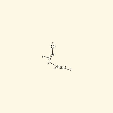 CC#CCC(C)=C[O]